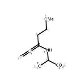 COCCC(=C=O)NC(C)C(=O)O